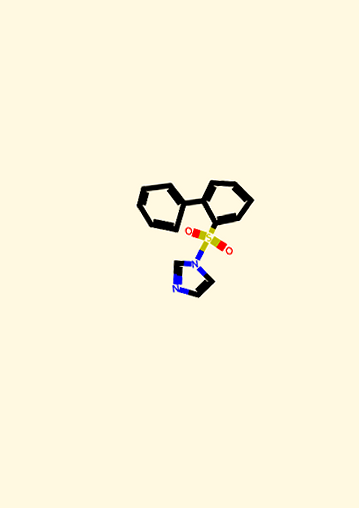 O=S(=O)(c1ccccc1-c1ccccc1)n1ccnc1